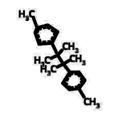 Cc1ccc(C(C)(C)C(C)(C)c2ccc(C)cc2)cc1